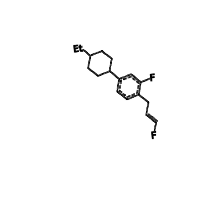 CCC1CCC(c2ccc(CC=CF)c(F)c2)CC1